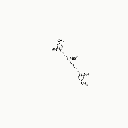 Br.Br.Cc1ccn(CCCCCCCCCCCCn2ccc(C)cc2=N)c(=N)c1